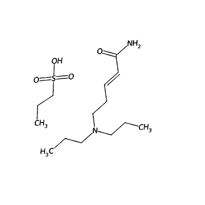 CCCN(CCC)CCC=CC(N)=O.CCCS(=O)(=O)O